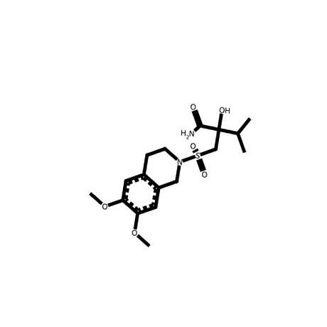 COc1cc2c(cc1OC)CN(S(=O)(=O)CC(O)(C(N)=O)C(C)C)CC2